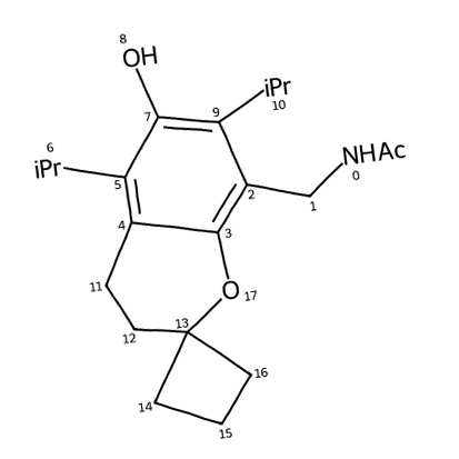 CC(=O)NCc1c2c(c(C(C)C)c(O)c1C(C)C)CCC1(CCC1)O2